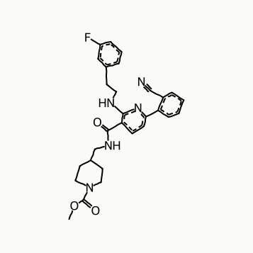 COC(=O)N1CCC(CNC(=O)c2ccc(-c3ccccc3C#N)nc2NCCc2cccc(F)c2)CC1